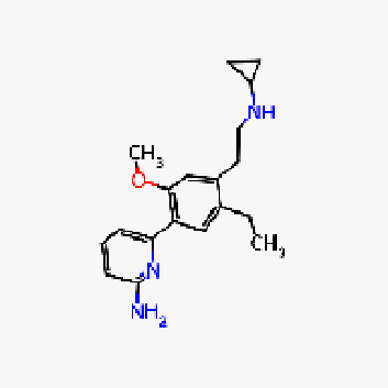 CCc1cc(-c2cccc(N)n2)c(OC)cc1CCNC1CC1